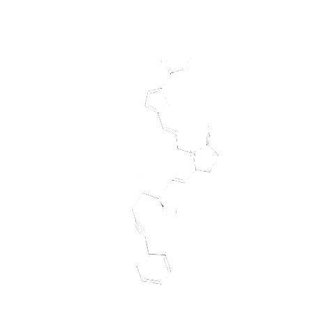 COC(=O)c1ccc(C=CCN2C(=O)CCC2C=C[C@@H](O)[C@@H](C)CC#Cc2ccccc2)s1